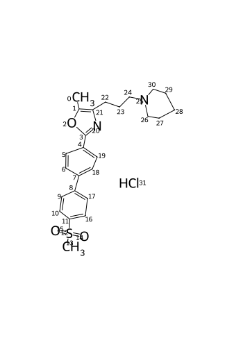 Cc1oc(-c2ccc(-c3ccc(S(C)(=O)=O)cc3)cc2)nc1CCCN1CCCCC1.Cl